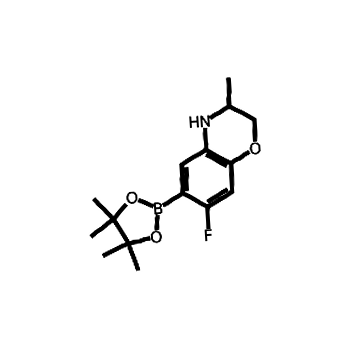 CC1COc2cc(F)c(B3OC(C)(C)C(C)(C)O3)cc2N1